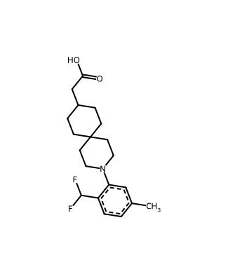 Cc1ccc(C(F)F)c(N2CCC3(CCC(CC(=O)O)CC3)CC2)c1